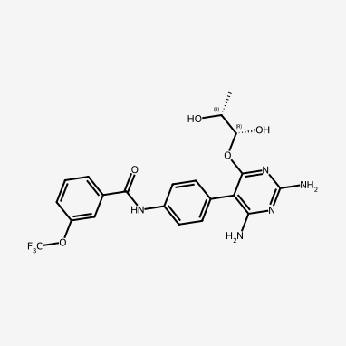 C[C@@H](O)[C@H](O)Oc1nc(N)nc(N)c1-c1ccc(NC(=O)c2cccc(OC(F)(F)F)c2)cc1